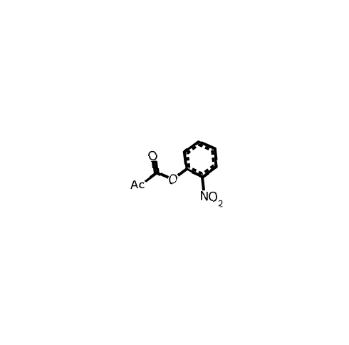 CC(=O)C(=O)Oc1ccccc1[N+](=O)[O-]